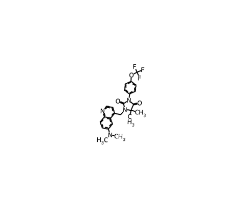 CN(C)c1ccc2nccc(CN3C(=O)N(c4ccc(OC(F)(F)F)cc4)C(=O)C3(C)C)c2c1